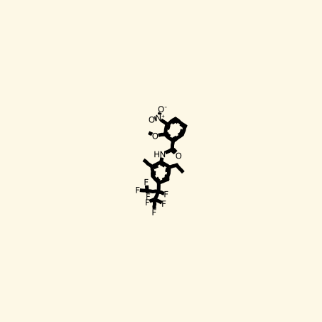 CCc1cc(C(F)(C(F)(F)F)C(F)(F)F)cc(C)c1NC(=O)c1cccc([N+](=O)[O-])c1OC